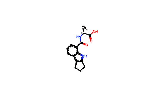 C[C@H](NC(=O)c1cccc2c3c([nH]c12)CCC3)C(=O)O